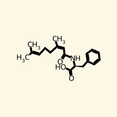 CC(C)=CCCC(C)=CC(=O)N[C@@H](Cc1ccccc1)C(=O)O